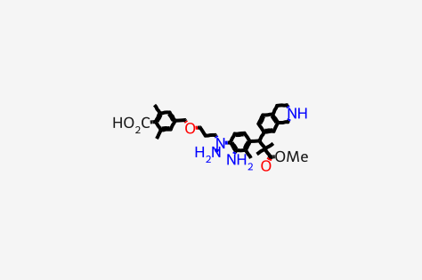 COC(=O)C(C)(C)C(c1ccc2c(c1)CNCC2)c1ccc(N(N)CCCOCc2cc(C)c(C(=O)O)c(C)c2)c(N)c1C